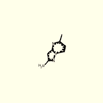 Cc1ccn2nc(N)cc2n1